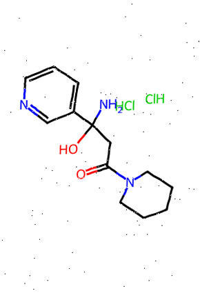 Cl.Cl.NC(O)(CC(=O)N1CCCCC1)c1cccnc1